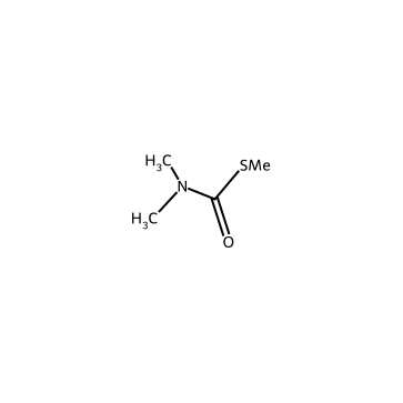 CSC(=O)N(C)C